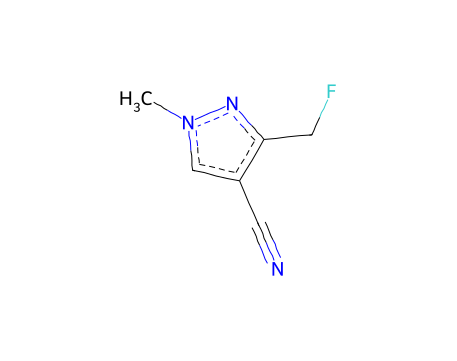 Cn1cc(C#N)c(CF)n1